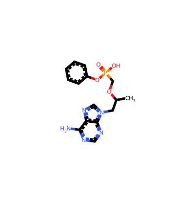 CC(Cn1cnc2c(N)ncnc21)OCP(=O)(O)Oc1ccccc1